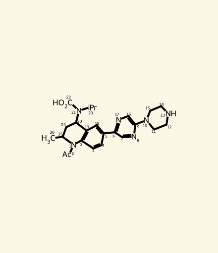 CC(=O)N1c2ccc(-c3cnc(N4CCNCC4)cn3)cc2C(N(C(=O)O)C(C)C)CC1C